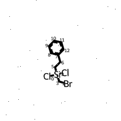 Cl[Si](Cl)(CBr)CCc1ccccc1